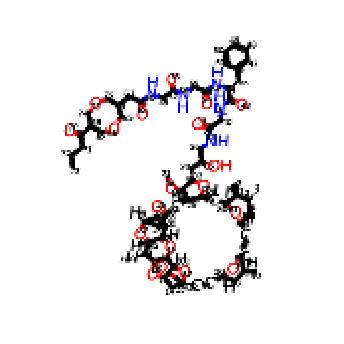 C=C1[C@H](C)C[C@@H]2CC[C@@H]3O[C@@H](CC[C@@]45CC6OC7C(O[C@H]8CC[C@H](CC(=O)C[C@@H]9[C@@H](OC)[C@@H](C[C@H](O)CNC(=O)CNC(=O)[C@H](Cc%10ccccc%10)NC(=O)CNC(=O)CNC(=O)CC%10COCC(C(=O)CCC)COC%10)O[C@H]9C[C@H]1O2)O[C@@H]8[C@@H]7O4)[C@H]6O5)CC3C